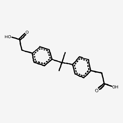 CC(C)(c1ccc(CC(=O)O)cc1)c1ccc(CC(=O)O)cc1